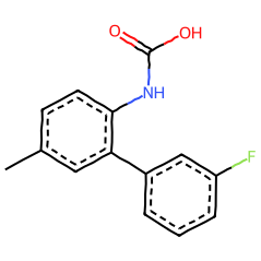 Cc1ccc(NC(=O)O)c(-c2cccc(F)c2)c1